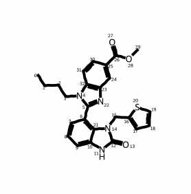 CCCCn1c(-c2cccc3[nH]c(=O)n(Cc4cccs4)c23)nc2cc(C(=O)OC)ccc21